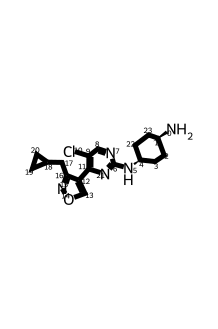 N[C@H]1CC[C@H](Nc2ncc(Cl)c(-c3conc3CC3CC3)n2)CC1